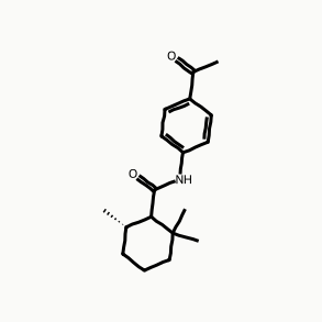 CC(=O)c1ccc(NC(=O)C2[C@@H](C)CCCC2(C)C)cc1